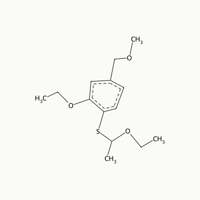 CCOc1cc(COC)ccc1SC(C)OCC